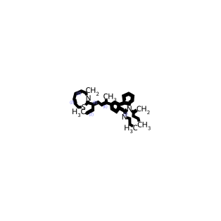 C=C1/C=C\C=C/CSC(C(/C=C\C)=C/C=C(\C)c2ccc3/c(=N/CCC)n(C(=C)CCC)c4ccccc4c3c2)=N1